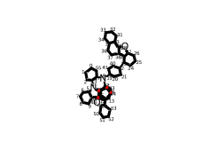 c1ccc(-n2c3ccccc3c3ccccc32)c(N(c2ccc(-c3cccc4oc5c6ccccc6ccc5c34)cc2)c2ccc3c(c2)oc2ccccc23)c1